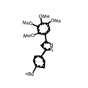 CCCCc1ccc(-c2cc(-c3cc(OC)c(OC)c(OC)c3OC)ns2)cc1